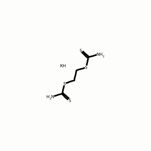 NC(=S)SCCSC(N)=S.[KH]